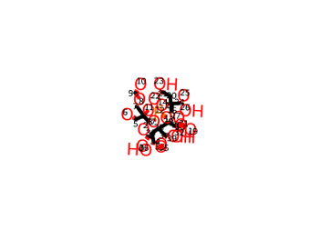 O=COCC(C=O)(COC=O)OP(=O)(OC(COC=O)(CC(=O)O)C(=O)O)OC(CC(=O)O)(CC(=O)O)C(=O)O